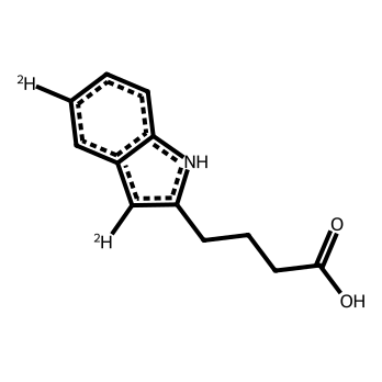 [2H]c1ccc2[nH]c(CCCC(=O)O)c([2H])c2c1